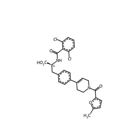 Cc1ccc(C(=O)N2CC=C(c3ccc(C[C@H](NC(=O)c4c(Cl)cccc4Cl)C(=O)O)cc3)CC2)o1